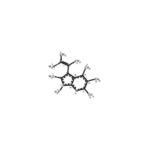 C/C(N)=C(\C)c1c(C)n(P)c2nc(C)c(C)c(C)c12